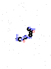 O=C(c1cc(Nc2ccc3c(c2)CC2(C3)C(=O)Nc3ncccc32)ncn1)N1CCc2nc[nH]c2CC1